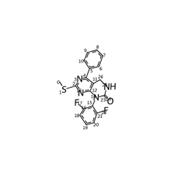 CSc1nc(-c2ccccc2)c2c(n1)N(c1c(F)cccc1F)C(=O)NC2